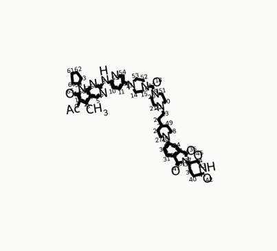 CC(=O)c1c(C)c2cnc(Nc3ccc(N4CCN(C(=O)N5CCN(CCC6CCN(c7ccc8c(c7)C(=O)N(C7CCC(=O)NC7=O)C8=O)CC6)CC5)CC4)cn3)nc2n(C2CCCC2)c1=O